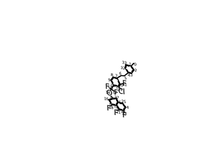 Cc1ccc(CCc2ccc(C(F)(F)Oc3cc(F)c4c(F)c(F)ccc4c3)c(Cl)c2F)cc1